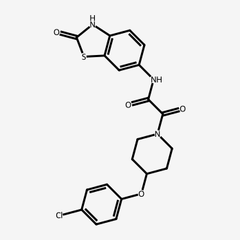 O=C(Nc1ccc2[nH]c(=O)sc2c1)C(=O)N1CCC(Oc2ccc(Cl)cc2)CC1